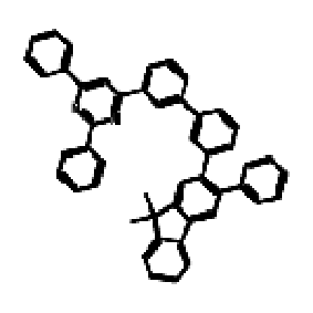 CC1(C)c2ccccc2-c2cc(-c3ccccc3)c(-c3cccc(-c4cccc(-c5cc(-c6ccccc6)nc(-c6ccccc6)n5)c4)c3)cc21